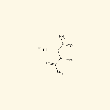 Cl.Cl.NC(=O)CC(N)C(N)=O